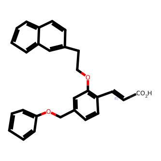 O=C(O)/C=C/c1ccc(COc2ccccc2)cc1OCCc1ccc2ccccc2c1